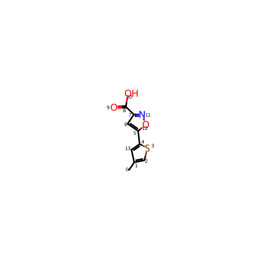 Cc1csc(-c2cc(C(=O)O)no2)c1